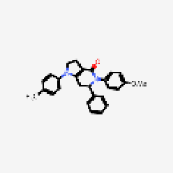 COc1ccc(N2C(=O)C3=C(CC2c2ccccc2)N(c2ccc(C)cc2)CC3)cc1